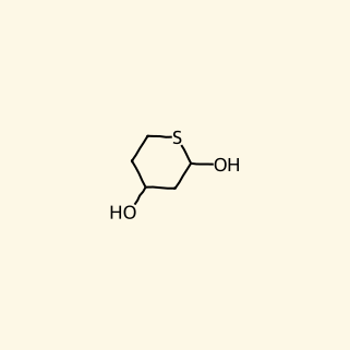 OC1CCSC(O)C1